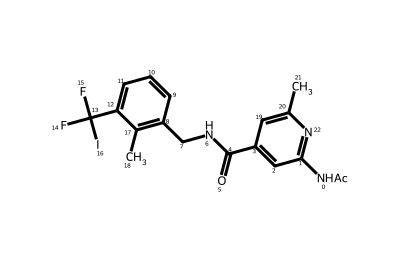 CC(=O)Nc1cc(C(=O)NCc2cccc(C(F)(F)I)c2C)cc(C)n1